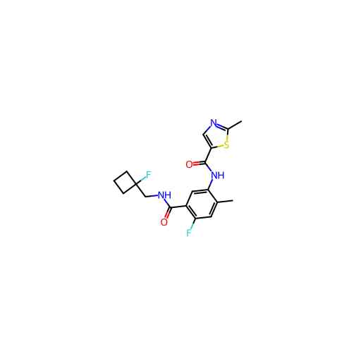 Cc1ncc(C(=O)Nc2cc(C(=O)NCC3(F)CCC3)c(F)cc2C)s1